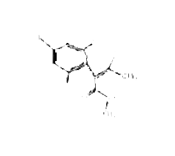 CNC(=O)/C(=C(\C)O)c1c(C)cc(I)cc1C